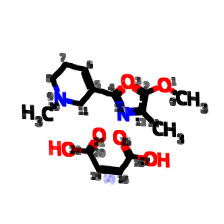 COc1oc(C2=CCCN(C)C2)nc1C.O=C(O)/C=C\C(=O)O